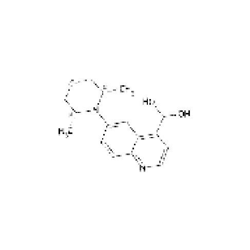 C[C@@H]1COC[C@H](C)N1c1ccc2nccc(C(O)O)c2c1